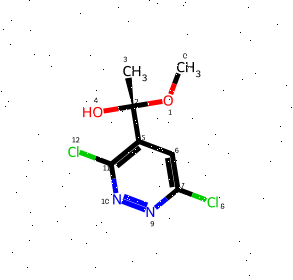 CO[C@@](C)(O)c1cc(Cl)nnc1Cl